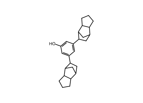 Oc1cc(C2CC3CC2C2CCCC32)cc(C2CC3CC2C2CCCC32)c1